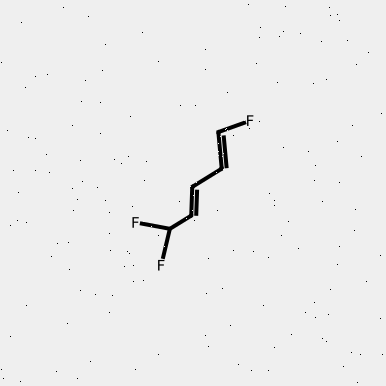 FC=CC=CC(F)F